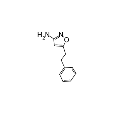 Nc1cc(CCc2ccccc2)on1